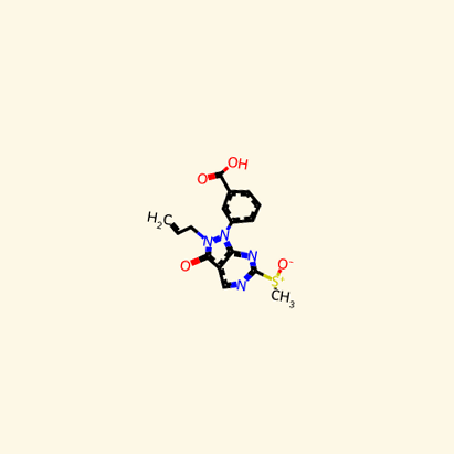 C=CCn1c(=O)c2cnc([S+](C)[O-])nc2n1-c1cccc(C(=O)O)c1